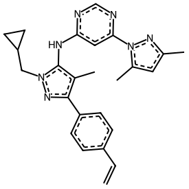 C=Cc1ccc(-c2nn(CC3CC3)c(Nc3cc(-n4nc(C)cc4C)ncn3)c2C)cc1